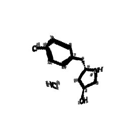 Cl.O[C@@H]1CN[C@@H](Cc2ccc(Cl)cc2)C1